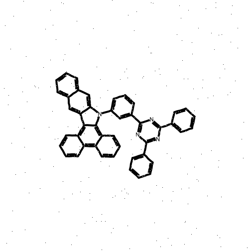 c1ccc(-c2nc(-c3ccccc3)nc(-c3cccc(-n4c5cc6ccccc6cc5c5c6ccccc6c6ccccc6c54)c3)n2)cc1